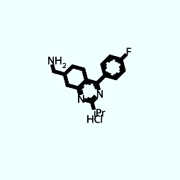 CC(C)c1nc2c(c(-c3ccc(F)cc3)n1)CCC(CN)C2.Cl